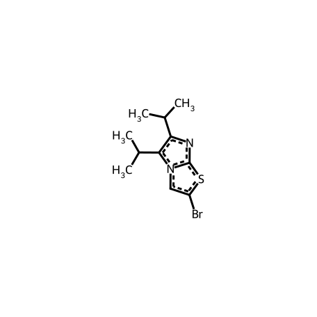 CC(C)c1nc2sc(Br)cn2c1C(C)C